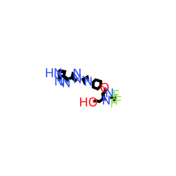 OCCc1cc(O[C@H]2CC[C@@H](N3C[C](n4cc(-c5ncnc6[nH]ccc56)cn4)C3)CC2)nc(C(F)(F)F)n1